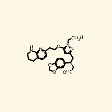 O=CC[C@H](Cc1cc(OCCc2ccc3c(n2)NCCC3)n(CC(=O)O)n1)c1ccc2c(c1)OCO2